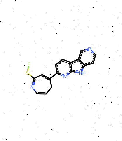 FSC1=NC=CCC(c2ccc3c(n2)[nH]c2ccncc23)=C1